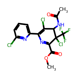 COC(=O)C1=NC(c2cccc(Cl)n2)=C(Cl)C(NC(C)=O)C1(Cl)C(F)(F)F